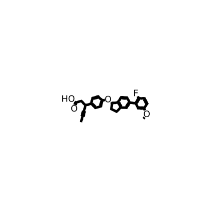 CC#CC(CC(=O)O)c1ccc(OC2CCc3cc(-c4cc(OC)ccc4F)ccc32)cc1